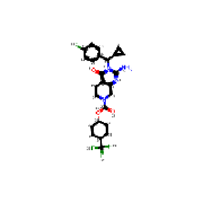 Nc1nc2c(c(=O)n1C(c1ccc(F)cc1)C1CC1)CCN(C(=O)O[C@H]1CC[C@H](C(F)(F)F)CC1)C2